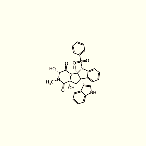 CN1C(=O)[C@]2(O)C[C@]3(c4c[nH]c5ccccc45)c4ccccc4N(S(=O)(=O)c4ccccc4)[C@@H]3N2C(=O)[C@H]1O